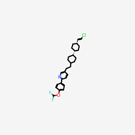 FC(F)Oc1ccc(-c2ccc(CCC3CCC([C@H]4CC[C@H](/C=C/Cl)CC4)CC3)cn2)cc1